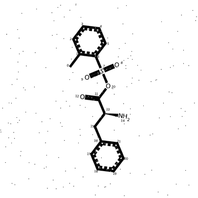 Cc1ccccc1S(=O)(=O)OC(=O)[C@@H](N)Cc1ccccc1